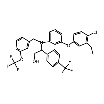 CCc1cc(Oc2cccc(N(Cc3cccc(OC(F)(F)F)c3)C(CO)c3ccc(C(F)(F)F)cc3)c2)ccc1Cl